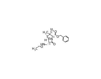 CCONC[C@H]1C(=O)N2[C@@H]1SC(C)(C)[C@@H]2C(=O)OCc1ccccc1